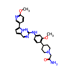 COc1ccc(-c2ccc3cnc(Nc4ccc(C5CCN(CC(N)=O)CC5)c(OC)c4)nn23)cn1